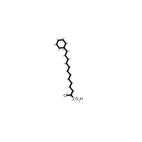 O=C(O)C(Cl)CCCCCCCCCCCC1CCCCC1